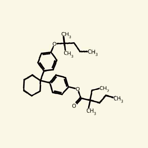 CCCC(C)(C)Oc1ccc(C2(c3ccc(OC(=O)C(C)(CC)CCC)cc3)CCCCC2)cc1